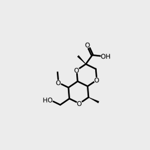 COC1C(CO)O[C@H](C)C2OC[C@@](C)(C(=O)O)OC12